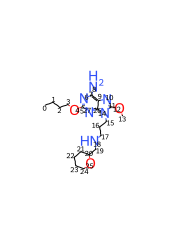 CCCCOc1nc(N)c2nc(OC)n(CCCNCC3CCCCO3)c2n1